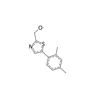 Cc1ccc(-c2cnc(C[O])s2)c(C)c1